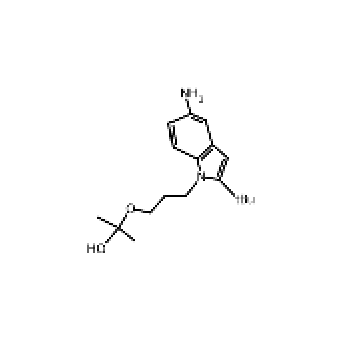 CC(C)(O)OCCCn1c(C(C)(C)C)cc2cc(N)ccc21